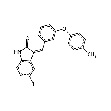 Cc1ccc(Oc2cccc(C=C3C(=O)Nc4ccc(I)cc43)c2)cc1